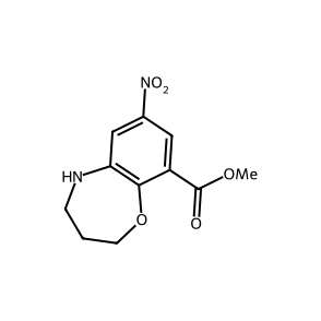 COC(=O)c1cc([N+](=O)[O-])cc2c1OCCCN2